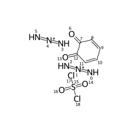 N=[N+]=N.N=[N+]=N.O=C1C=CC=CC1=O.O=S(=O)(Cl)Cl